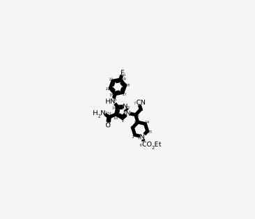 CCOC(=O)N1CCC(C(CC#N)n2cc(C(N)=O)c(Nc3ccc(F)cc3)n2)CC1